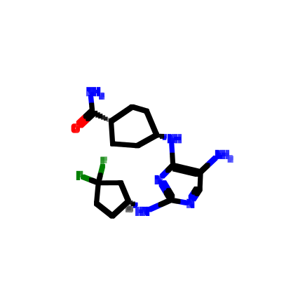 Nc1cnc(N[C@@H]2CCC(F)(F)C2)nc1N[C@H]1CC[C@@H](C(N)=O)CC1